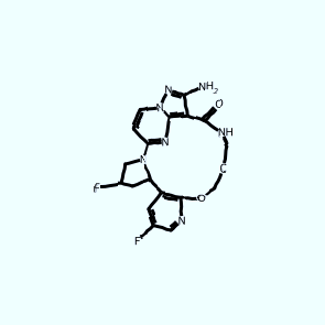 Nc1nn2ccc3nc2c1C(=O)NCCCOc1ncc(F)cc1C1CC(F)CN31